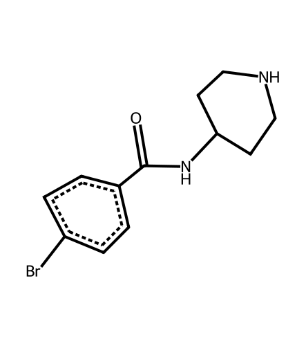 O=C(NC1CCNCC1)c1ccc(Br)cc1